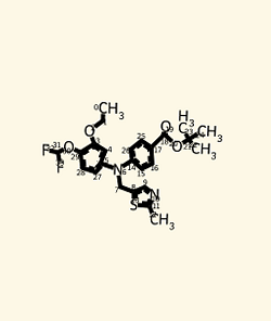 CCOc1cc(N(Cc2cnc(C)s2)c2ccc(C(=O)OC(C)(C)C)cc2)ccc1OC(F)F